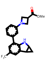 COC(=O)C1CN(c2cccc(-c3cc(C(F)(F)F)cc4c3NC3CC43)c2)C1